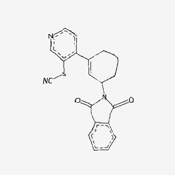 N#CSc1cnccc1C1=CC(N2C(=O)c3ccccc3C2=O)CCC1